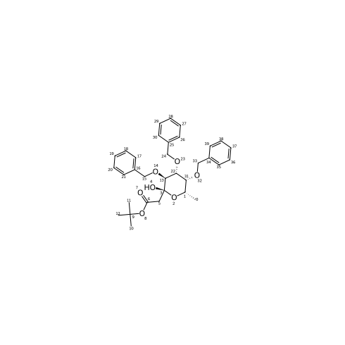 C[C@@H]1O[C@](O)(CC(=O)OC(C)(C)C)[C@@H](OCc2ccccc2)[C@H](OCc2ccccc2)[C@@H]1OCc1ccccc1